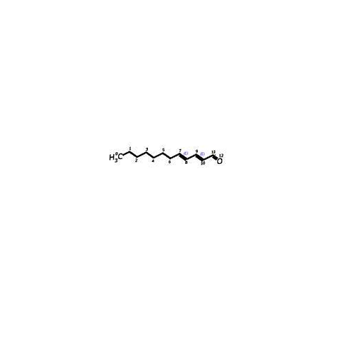 CCCCCCC/C=C/C=C/[C]=O